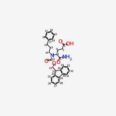 NC(=O)[C@H](CCC(=O)O)N(CCCc1ccccc1)C(=O)OCC1c2ccccc2-c2ccccc21